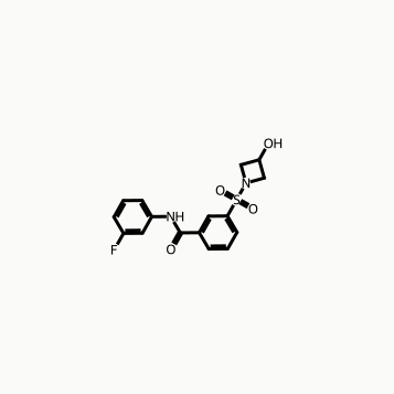 O=C(Nc1cccc(F)c1)c1cccc(S(=O)(=O)N2CC(O)C2)c1